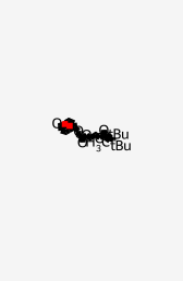 CC(C)(C)CC(C)(C(=O)OCCOC(=O)COC1C2CC3CC(C2)C(=O)OC1C3)C(C)(C)C